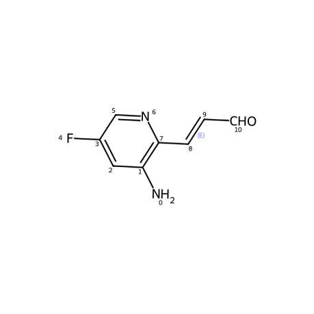 Nc1cc(F)cnc1/C=C/C=O